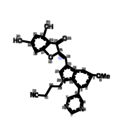 COc1cc(-c2cncnc2)c2c(c1)c(/C=C1\Oc3cc(O)cc(O)c3C1=O)cn2CCCC#N